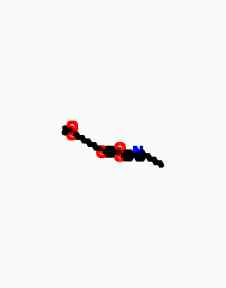 C=C(C)C(=O)OCCCCCCCCCOc1ccc(C(=O)Oc2ccc(-c3ccc(CCCCCC)cn3)cc2)cc1